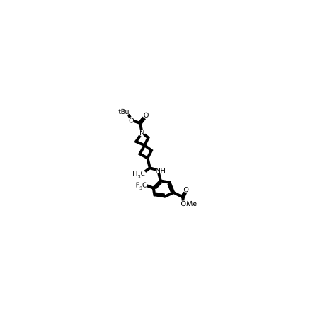 COC(=O)c1ccc(C(F)(F)F)c(NC(C)C2CC3(C2)CN(C(=O)OC(C)(C)C)C3)c1